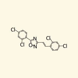 Clc1ccc(C=Cc2noc(-c3ccc(Cl)cc3Cl)n2)c(Cl)c1